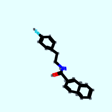 O=C(NCCc1ccc(F)cc1)c1ccc2ccccc2c1